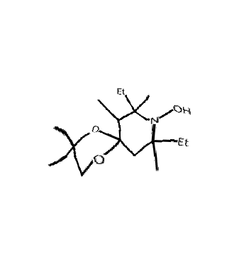 CCC1(C)CC2(OCC(C)(C)O2)C(C)C(C)(CC)N1O